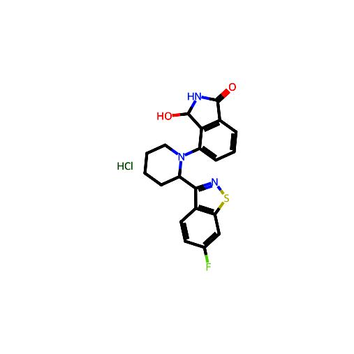 Cl.O=C1NC(O)c2c1cccc2N1CCCCC1c1nsc2cc(F)ccc12